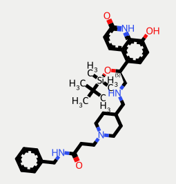 CC(C)(C)[Si](C)(C)O[C@H](CNCC1CCN(CCC(=O)NCc2ccccc2)CC1)c1ccc(O)c2[nH]c(=O)ccc12